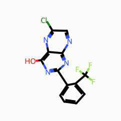 Oc1nc(-c2ccccc2C(F)(F)F)nc2ncc(Cl)nc12